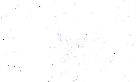 CNC(=O)c1c(-c2ccc(OCC(F)(F)F)nc2)oc2cc(N(C)S(C)(=O)=O)c(-c3ccc4c(n3)-c3cc5c(F)cccc5n3CC4)cc12